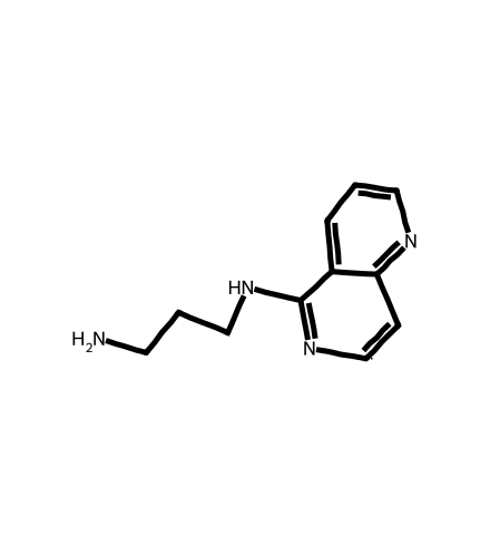 NCCCNc1n[c]cc2ncccc12